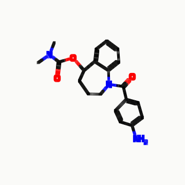 CN(C)C(=O)OC1CCCN(C(=O)c2ccc(N)cc2)c2ccccc21